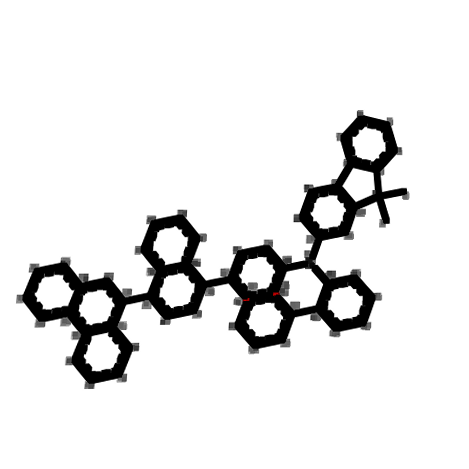 CC1(C)c2ccccc2-c2ccc(N(c3ccc(-c4ccc(-c5cc6ccccc6c6ccccc56)c5ccccc45)cc3)c3ccccc3-c3ccccc3)cc21